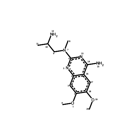 COc1cc2nc(N(C)CC(C)N)nc(N)c2cc1OC